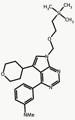 CNc1cccc(-c2ncnc3c2c(C2CCOCC2)cn3COCC[Si](C)(C)C)c1